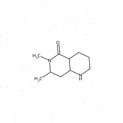 CC1CC2NCCCC2C(=O)N1C